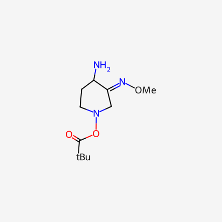 CON=C1CN(OC(=O)C(C)(C)C)CCC1N